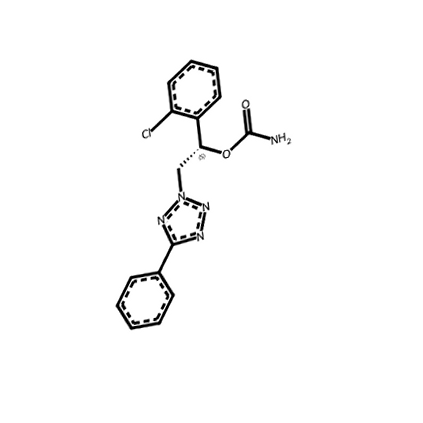 NC(=O)O[C@H](Cn1nnc(-c2ccccc2)n1)c1ccccc1Cl